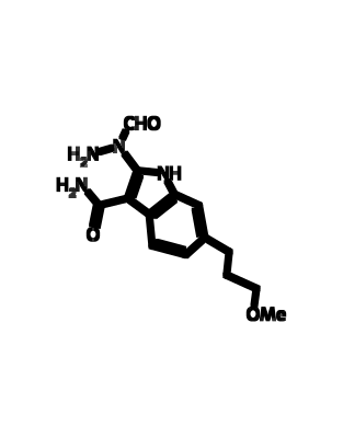 COCCCc1ccc2c(C(N)=O)c(N(N)C=O)[nH]c2c1